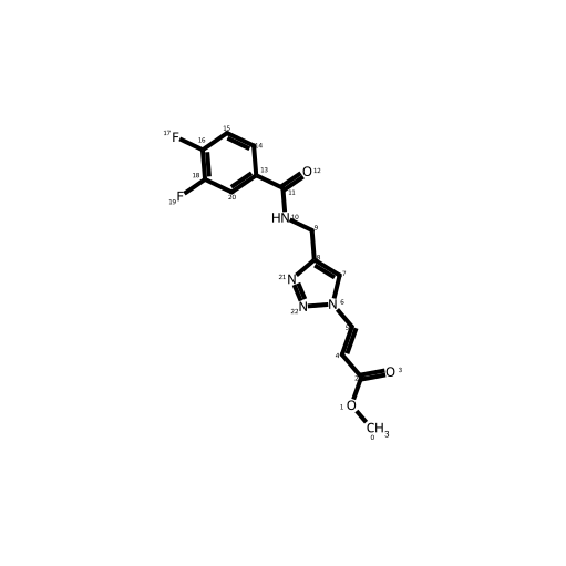 COC(=O)/C=C/n1cc(CNC(=O)c2ccc(F)c(F)c2)nn1